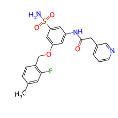 Cc1ccc(COc2cc(NC(=O)Cc3cccnc3)cc(S(N)(=O)=O)c2)c(F)c1